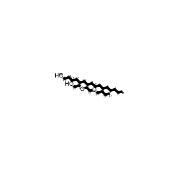 CCCCCCCCCCCCCCCCO.CCCCOCCOCCO